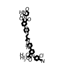 CC1(C)C(=O)N(c2ccc(C#N)c(Cl)c2)c2ccc(-c3ccc(N4CC(CCN5CCN(c6ccc7c(c6)C(=O)N(C6CCC(=O)NC6=O)C7=O)CC5)C4)nn3)cc21